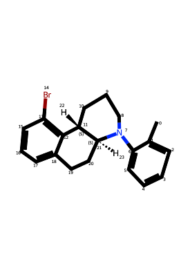 Cc1ccccc1N1CCC[C@H]2c3c(Br)cccc3CC[C@@H]21